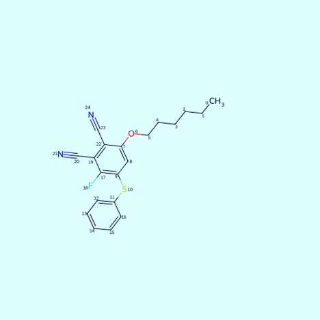 CCCCCCOc1cc(Sc2ccccc2)c(F)c(C#N)c1C#N